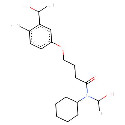 CC(O)c1cc(OCCCC(=O)N(C(C)O)C2CCCCC2)ccc1[N+](=O)[O-]